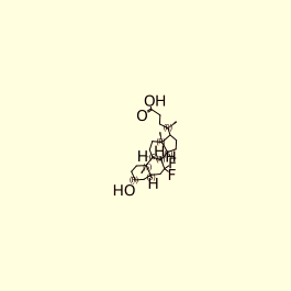 C[C@H](CCC(=O)O)C1CC[C@H]2[C@H]3[C@H](CC[C@]12C)[C@@]1(C)CC[C@@H](O)C[C@H]1CC3(F)F